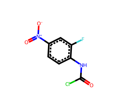 O=C(Cl)Nc1ccc([N+](=O)[O-])cc1F